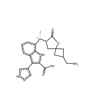 C[C@@H](c1cccc2c(-c3cn[nH]c3)c(C(=O)O)[nH]c12)N1CC2(CC(CN)C2)OC1=O